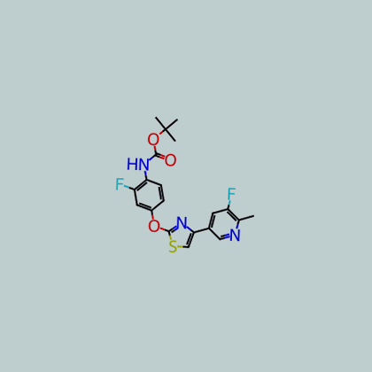 Cc1ncc(-c2csc(Oc3ccc(NC(=O)OC(C)(C)C)c(F)c3)n2)cc1F